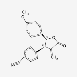 C=C1C(=O)O[C@H](c2ccc(OC)cc2)[C@@H]1c1ccc(C#N)cc1